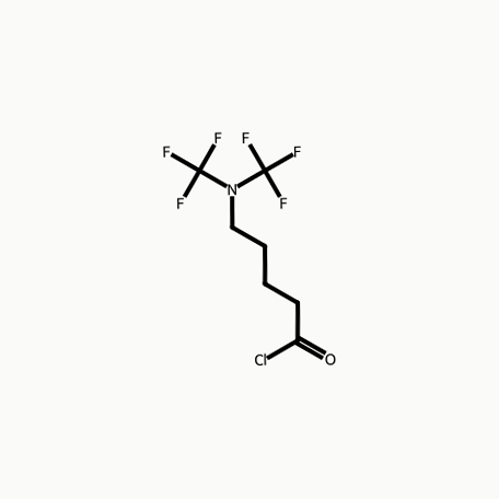 O=C(Cl)CCCCN(C(F)(F)F)C(F)(F)F